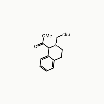 COC(=O)C1c2ccccc2CCN1CC(C)(C)C